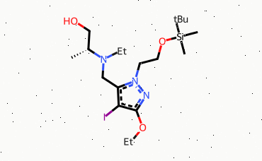 CCOc1nn(CCO[Si](C)(C)C(C)(C)C)c(CN(CC)[C@H](C)CO)c1I